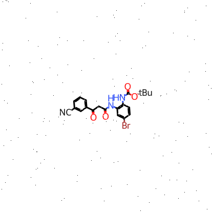 CC(C)(C)OC(=O)Nc1ccc(Br)cc1NC(=O)CC(=O)c1cccc(C#N)c1